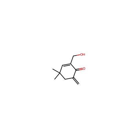 C=C1CC(C)(C)C=C(CO)C1=O